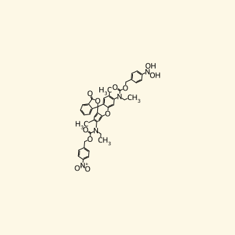 CCN(C(=O)OCc1ccc(N(O)O)cc1)c1cc2c(cc1C)C1(OC(=O)c3ccccc31)c1cc(C)c(N(CC)C(=O)OCc3ccc([N+](=O)[O-])cc3)cc1O2